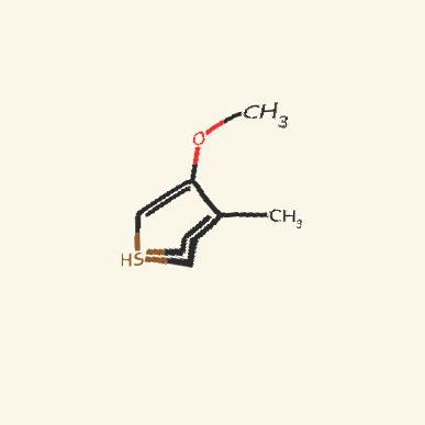 COC1=C[SH]=C=C1C